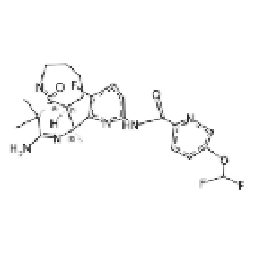 CC1(C)C(N)=N[C@](C)(c2nc(NC(=O)c3ccc(OC(F)F)cn3)ccc2F)[C@@H]2CCCCN=[S@@]21=O